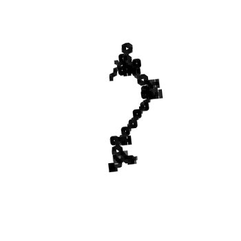 CCCC[C@H](OC)[C@@H](C)C(=O)NC(CCc1ccccc1)C(=O)NOCc1ccc(NC(=O)[C@@H](C)NC(=O)CCOCCOCCOCCOCCNC(=O)c2ccc3nc(CBr)c(CBr)nc3c2)cc1